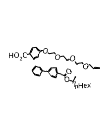 C=CCOCCOCCOCCOc1ccc(C(=O)O)cc1.CCCCCC[C@@H](C)OC(=O)c1ccc(-c2ccccc2)cc1